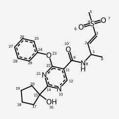 CC(/C=C/S(C)(=O)=O)NC(=O)c1cnc(C2(O)CCCC2)nc1Oc1ccccc1